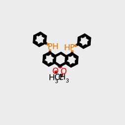 COC1(OC)c2cccc(Pc3ccccc3)c2Cc2c(Pc3ccccc3)cccc21